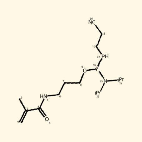 C=C(C)C(=O)NCCCOP(PCCC#N)N(C(C)C)C(C)C